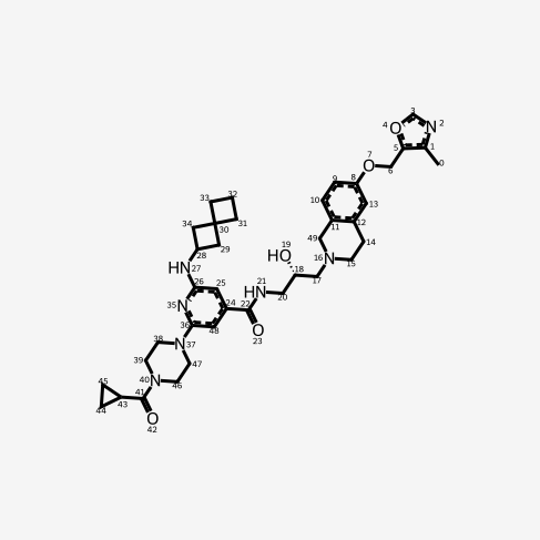 Cc1ncoc1COc1ccc2c(c1)CCN(C[C@@H](O)CNC(=O)c1cc(NC3CC4(CCC4)C3)nc(N3CCN(C(=O)C4CC4)CC3)c1)C2